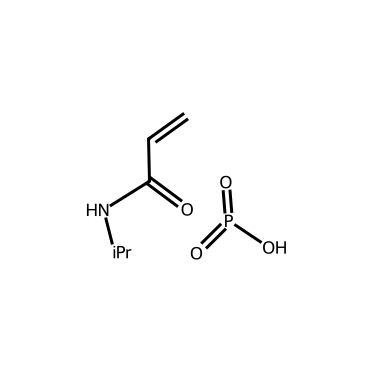 C=CC(=O)NC(C)C.O=P(=O)O